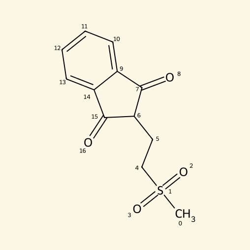 CS(=O)(=O)CCC1C(=O)c2ccccc2C1=O